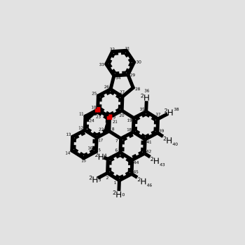 [2H]c1c([2H])c([2H])c2c(-c3cccc4ccccc34)c3c(-c4c(C)c(C)cc5c4Cc4ccccc4-5)c([2H])c([2H])c([2H])c3c([2H])c2c1[2H]